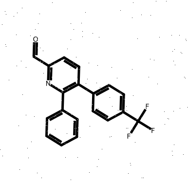 O=Cc1ccc(-c2ccc(C(F)(F)F)cc2)c(-c2ccccc2)n1